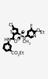 CCOC(=O)c1cccc(NC(=O)c2sc(Cl)cc2S(=O)(=O)N(C)c2cnc(OCC)c(F)c2)c1